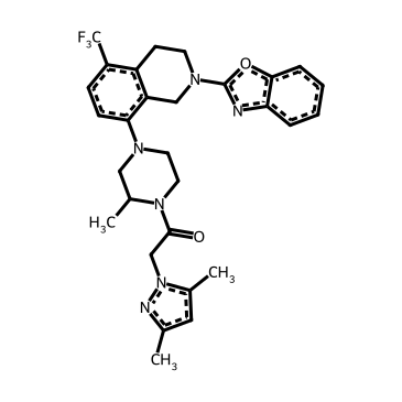 Cc1cc(C)n(CC(=O)N2CCN(c3ccc(C(F)(F)F)c4c3CN(c3nc5ccccc5o3)CC4)CC2C)n1